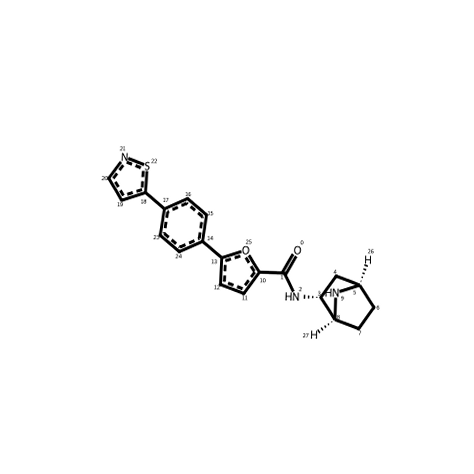 O=C(N[C@@H]1C[C@H]2CC[C@@H]1N2)c1ccc(-c2ccc(-c3ccns3)cc2)o1